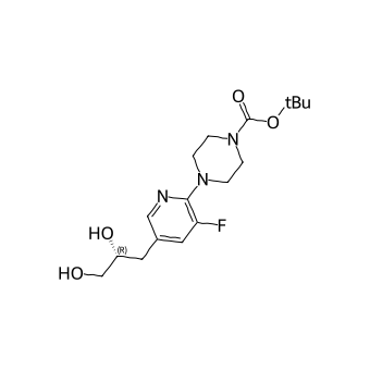 CC(C)(C)OC(=O)N1CCN(c2ncc(C[C@@H](O)CO)cc2F)CC1